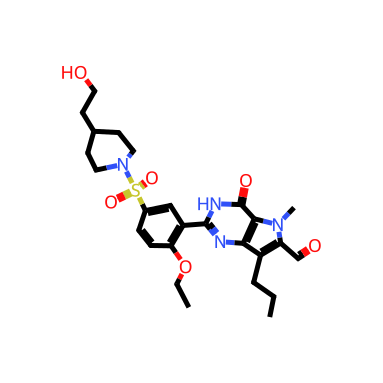 CCCc1c(C=O)n(C)c2c(=O)[nH]c(-c3cc(S(=O)(=O)N4CCC(CCO)CC4)ccc3OCC)nc12